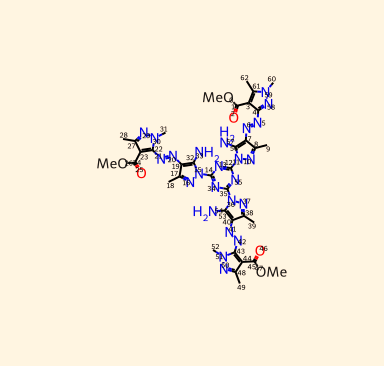 COC(=O)c1c(/N=N/c2c(C)nn(-c3nc(-n4nc(C)c(/N=N/c5c(C(=O)OC)c(C)nn5C)c4N)nc(-n4nc(C)c(/N=N/c5c(C(=O)OC)c(C)nn5C)c4N)n3)c2N)nn(C)c1C